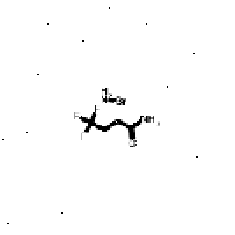 NBr.NC(=O)CCC(F)(F)F